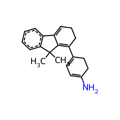 CC1(C)C2=C(C3=CC=C(N)CC3)CCC=C2c2ccccc21